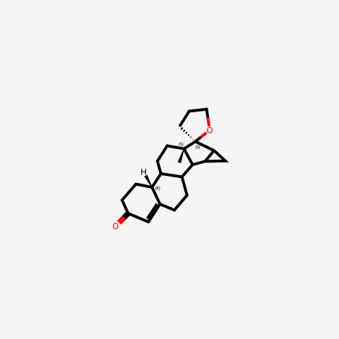 C[C@]12CCC3C(CCC4=CC(=O)CC[C@@H]43)C1C1CC1[C@@]21CCCO1